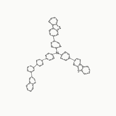 c1cc(-c2ccc(-c3ccc(N(c4ccc(-c5ccc6c(c5)sc5ccccc56)cc4)c4ccc(-c5ccc6c(c5)sc5ccccc56)cc4)cc3)cc2)cc(-c2ccc3ccccc3c2)c1